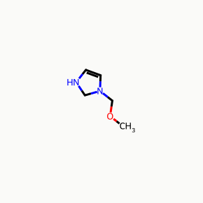 COCN1C=CNC1